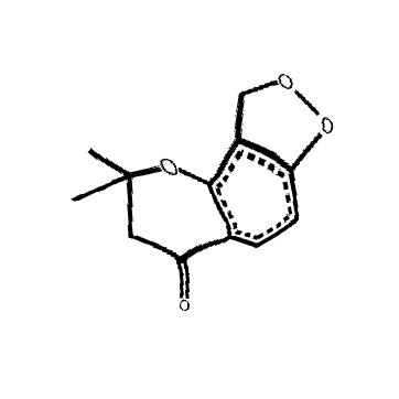 CC1(C)CC(=O)c2ccc3c(c2O1)COO3